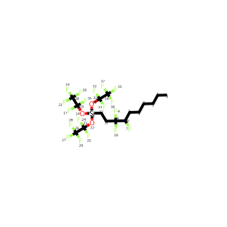 CCCCCCC(F)C(F)(F)CC[Si](OC(F)(F)C(F)(F)F)(OC(F)(F)C(F)(F)F)OC(F)(F)C(F)(F)F